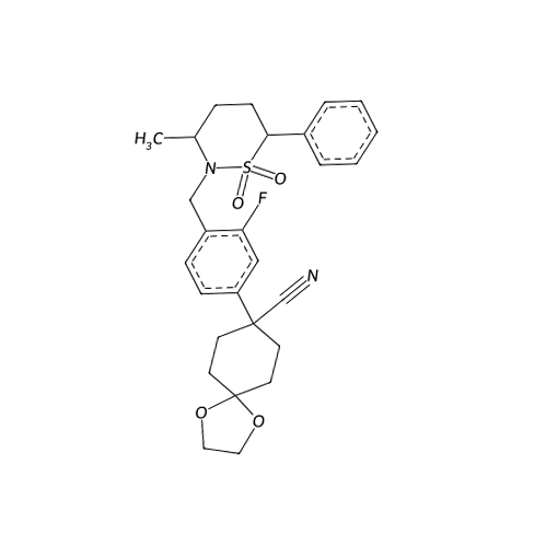 CC1CCC(c2ccccc2)S(=O)(=O)N1Cc1ccc(C2(C#N)CCC3(CC2)OCCO3)cc1F